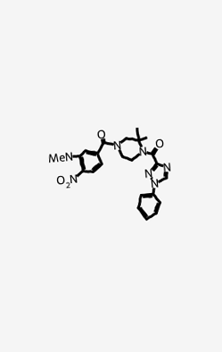 CNc1cc(C(=O)N2CCN(C(=O)c3ncn(-c4ccccc4)n3)C(C)(C)C2)ccc1[N+](=O)[O-]